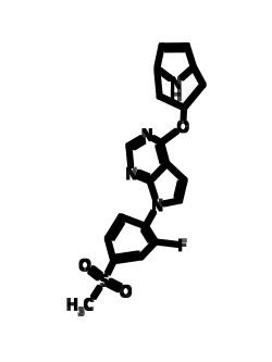 CS(=O)(=O)c1ccc(-n2ccc3c(OC4CC5C=CC(C4)N5)ncnc32)c(F)c1